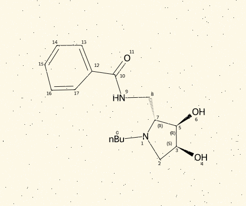 CCCCN1C[C@H](O)[C@H](O)[C@H]1CNC(=O)c1ccccc1